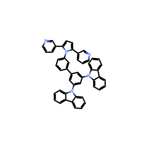 c1cncc(-c2ccc(-c3cccnc3)n2-c2cccc(-c3cc(-n4c5ccccc5c5ccccc54)cc(-n4c5ccccc5c5ccccc54)c3)c2)c1